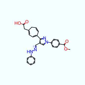 COC(=O)c1ccc(-n2cc(/C=N/Nc3ccccc3)c(C3=CC=C(CC(=O)O)CC=C3)n2)cc1